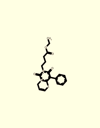 CCOC(=O)CCCn1c(=O)c(-c2ccccc2)c2n(c1=O)CC=CS2